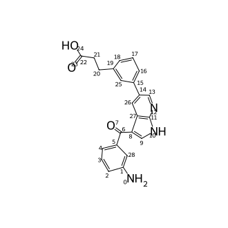 Nc1cccc(C(=O)c2c[nH]c3ncc(-c4cccc(CCC(=O)O)c4)cc23)c1